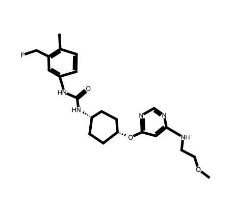 COCCNc1cc(O[C@H]2CC[C@@H](NC(=O)Nc3ccc(C)c(CF)c3)CC2)ncn1